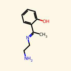 C/C(=N\CCN)c1ccccc1O